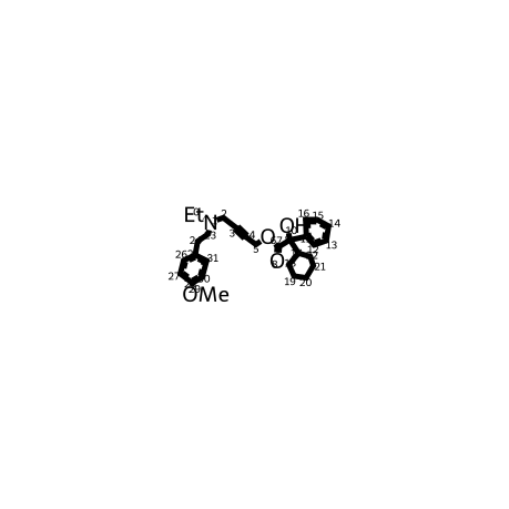 CCN(CC#CCOC(=O)C(O)(c1ccccc1)C1CCCCC1)CCc1ccc(OC)cc1